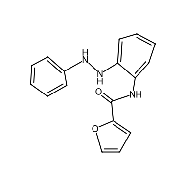 O=C(Nc1ccccc1NNc1ccccc1)c1ccco1